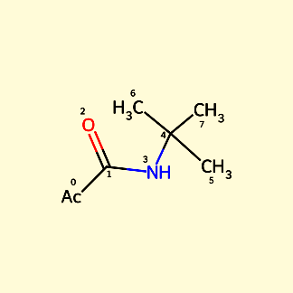 CC(=O)C(=O)NC(C)(C)C